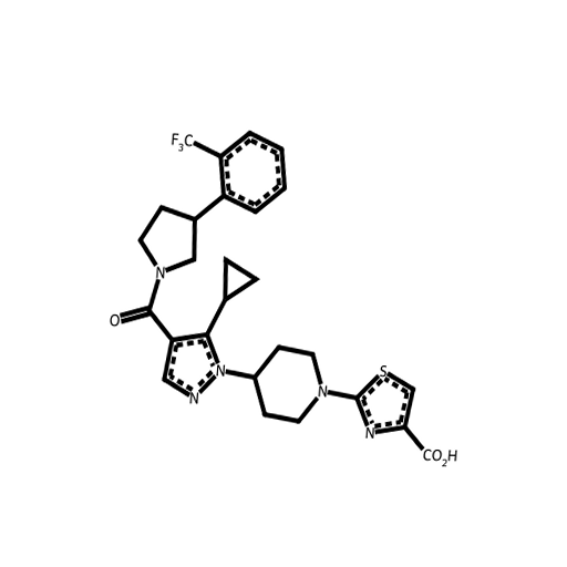 O=C(O)c1csc(N2CCC(n3ncc(C(=O)N4CCC(c5ccccc5C(F)(F)F)C4)c3C3CC3)CC2)n1